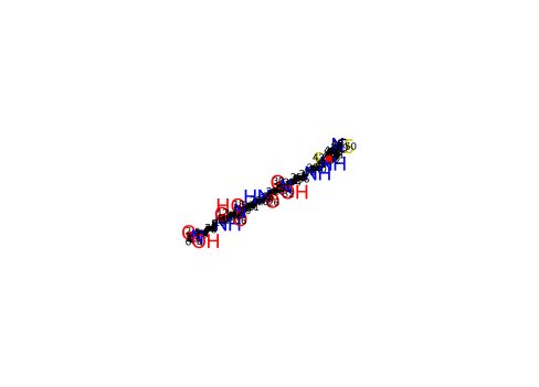 CC(=O)N(O)CCCCCNC(=O)CCC(=O)N(O)CCCCCNC(=O)CCC(=O)N(O)CCCCCNCCC(=S)Nc1ccc(N=C=S)cc1